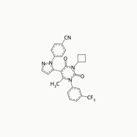 Cc1c(-c2ccnn2-c2ccc(C#N)cc2)c(=O)n(C2CCC2)c(=O)n1-c1cccc(C(F)(F)F)c1